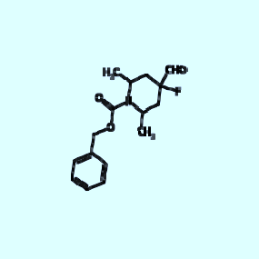 CC1CC(F)(C=O)CC(C)N1C(=O)OCc1ccccc1